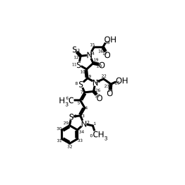 CCN1/C(=C/C(C)=c2/s/c(=C3\SC(=S)N(CC(=O)O)C3=O)n(CC(=O)O)c2=O)Sc2ccccc21